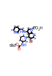 CC(C)(C)OC(=O)NC1CCCN(c2c(Br)cnc3c2c(NCc2cccnc2)cn3C(=O)O)C1